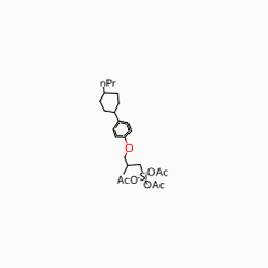 CCCC1CCC(c2ccc(OCC(C)C[Si](OC(C)=O)(OC(C)=O)OC(C)=O)cc2)CC1